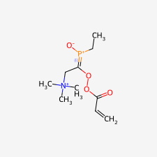 C=CC(=O)OO/C(C[N+](C)(C)C)=[P+](/[O-])CC